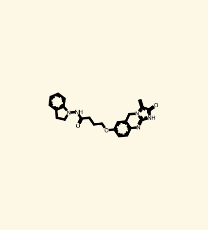 C=c1c(=O)[nH]c2n1Cc1cc(OCCCC(=O)NN3CCc4ccccc43)ccc1N=2